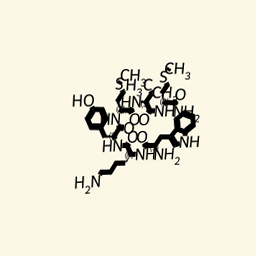 CSCC[C@H](NC(=O)[C@H](Cc1ccc(O)cc1)NC(=O)[C@@H](CCCCN)NC(=O)[C@@H](N)Cc1c[nH]c2ccccc12)C(=O)N[C@H](C(=O)N[C@H](CCSC)C(N)=O)C(C)C